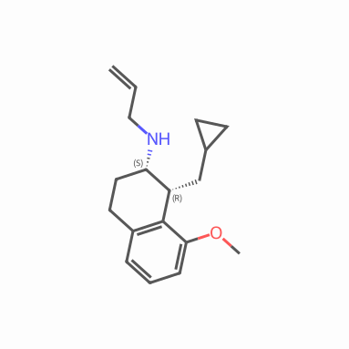 C=CCN[C@H]1CCc2cccc(OC)c2[C@H]1CC1CC1